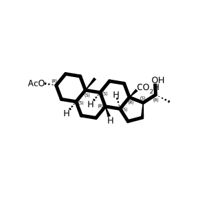 CC(=O)O[C@@H]1CC[C@@]2(C)[C@@H](CC[C@@H]3[C@@H]2CC[C@]2(C(=O)O)[C@@H]([C@@H](C)O)CC[C@@H]32)C1